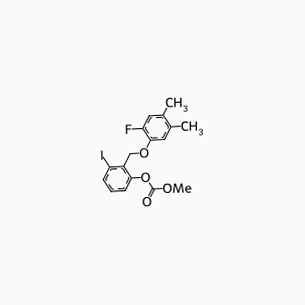 COC(=O)Oc1cccc(I)c1COc1cc(C)c(C)cc1F